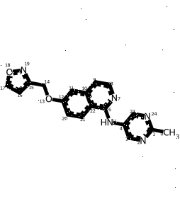 Cc1ncc(Nc2nccc3cc(OCc4ccon4)ccc23)cn1